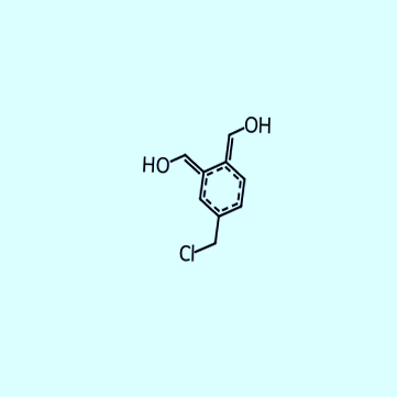 OC=c1ccc(CCl)cc1=CO